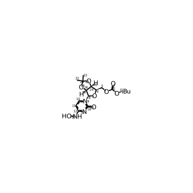 CC[C@H](C)OC(=O)OC[C@H]1O[C@@H](n2ccc(NO)nc2=O)[C@@H]2OC(C)(C)O[C@@H]21